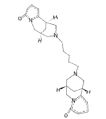 O=c1cccc2n1C[C@H]1C[C@@H]2CN(CCCCCN2C[C@@H]3C[C@H](C2)c2cccc(=O)n2C3)C1